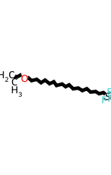 C=C(C)COCCCCCCCCCCCCCCCCCCC[Si](F)(F)F